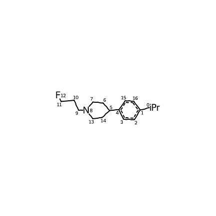 CC(C)c1ccc(C2CCN(CCCF)CC2)cc1